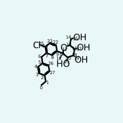 CCc1ccc(Cc2cc([C@]3(C)OC(CO)[C@@H](O)[C@H](O)[C@H]3O)ccc2Cl)cc1